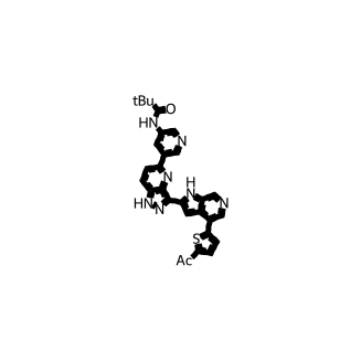 CC(=O)c1ccc(-c2cncc3[nH]c(-c4n[nH]c5ccc(-c6cncc(NC(=O)C(C)(C)C)c6)nc45)cc23)s1